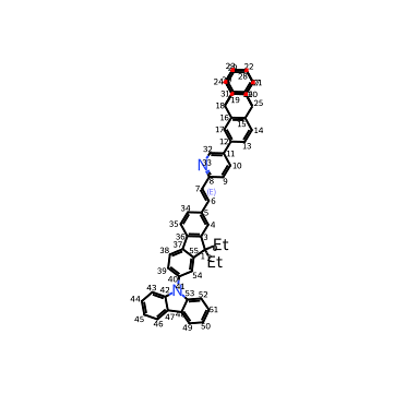 CCC1(CC)c2cc(/C=C/c3ccc(-c4ccc5c(c4)C4C6=C(CCC=C6)C5c5ccccc54)cn3)ccc2-c2ccc(-n3c4ccccc4c4ccccc43)cc21